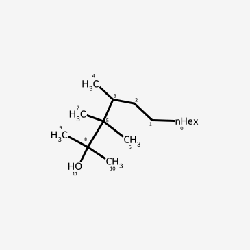 CCCCCCCCC(C)C(C)(C)C(C)(C)O